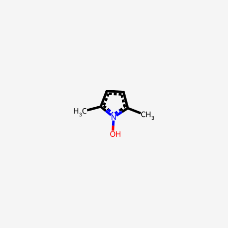 Cc1ccc(C)n1O